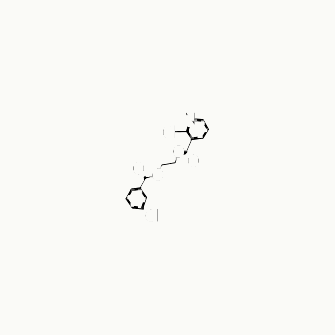 O=C(OCCOC(=O)c1cccnc1Cl)c1cccc(Cl)c1